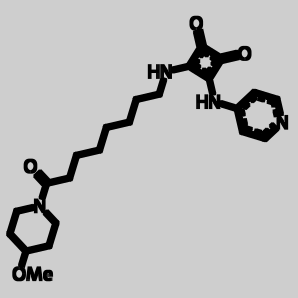 COC1CCN(C(=O)CCCCCCCNc2c(Nc3ccncc3)c(=O)c2=O)CC1